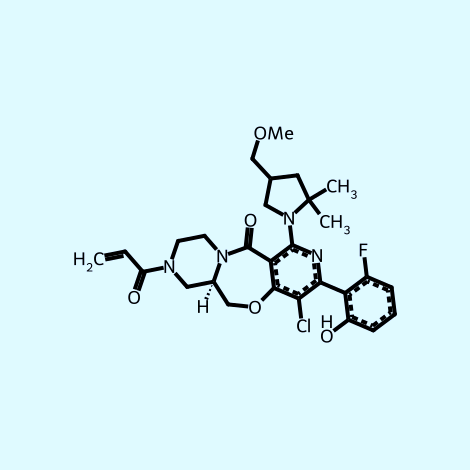 C=CC(=O)N1CCN2C(=O)c3c(N4CC(COC)CC4(C)C)nc(-c4c(O)cccc4F)c(Cl)c3OC[C@H]2C1